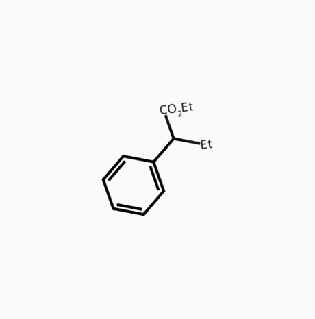 [CH2]CC(C(=O)OCC)c1ccccc1